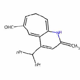 C=C1C=C(C(CCC)CCC)C2=CC(C=O)=CCC=C2N1